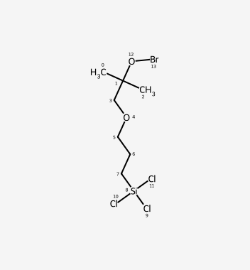 CC(C)(COCCC[Si](Cl)(Cl)Cl)OBr